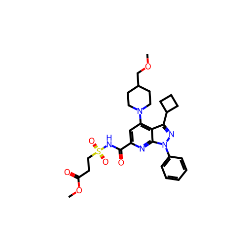 COCC1CCN(c2cc(C(=O)NS(=O)(=O)CCC(=O)OC)nc3c2c(C2CCC2)nn3-c2ccccc2)CC1